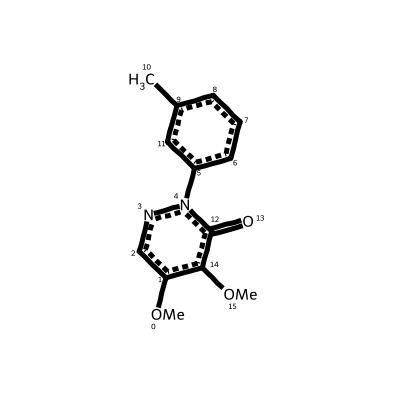 COc1cnn(-c2cccc(C)c2)c(=O)c1OC